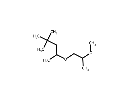 COC(C)COC(C)CC(C)(C)C